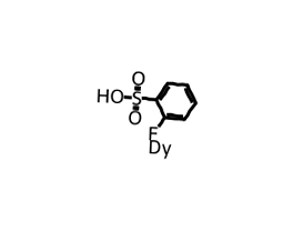 O=S(=O)(O)c1ccccc1F.[Dy]